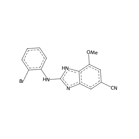 COc1cc(C#N)cc2nc(Nc3ccccc3Br)[nH]c12